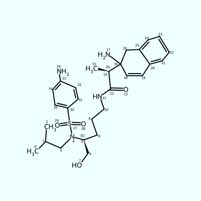 CC(C)CN([C@H](CO)CCCNC(=O)[C@@H](C)C1(N)C=Cc2ccccc2C1)S(=O)(=O)c1ccc(N)cc1